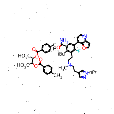 CCCn1cc(CCN(C)CCc2c(F)c(-c3ccnc4ccoc34)cc(C(N)=O)c2C(C)CC)cn1.Cc1ccc(C(=O)OC(C(=O)O)C(OC(=O)c2ccc(C)cc2)C(=O)O)cc1